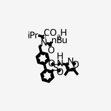 CCCCC(=O)N(Cc1ccc(-c2ccccc2S(=O)(=O)Nc2noc(C)c2C)cc1)[C@H](C(=O)O)C(C)C